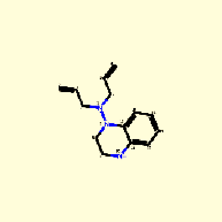 C=CCN(CC=C)N1CCNc2ccccc21